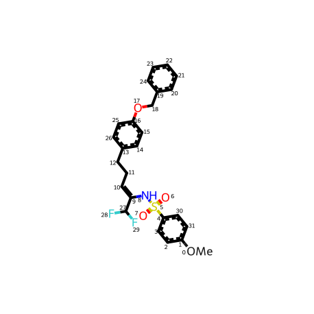 COc1ccc(S(=O)(=O)N/C(=C\CCc2ccc(OCc3ccccc3)cc2)C(F)F)cc1